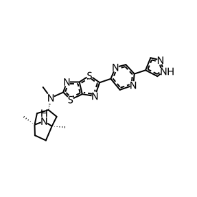 CN(c1nc2sc(-c3cnc(-c4cn[nH]c4)cn3)nc2s1)[C@H]1C[C@]2(C)CC[C@](C)(C1)N2